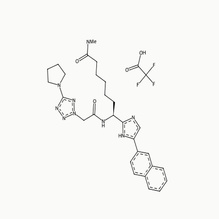 CNC(=O)CCCCC[C@H](NC(=O)Cn1nnc(N2CCCC2)n1)c1ncc(-c2ccc3ccccc3c2)[nH]1.O=C(O)C(F)(F)F